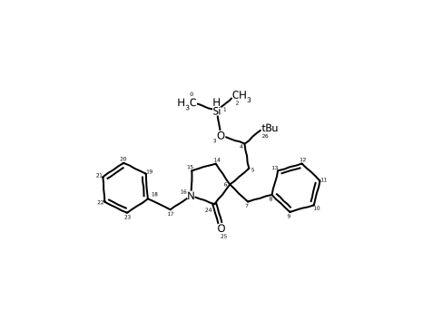 C[SiH](C)OC(CC1(Cc2ccccc2)CCN(Cc2ccccc2)C1=O)C(C)(C)C